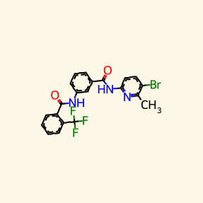 Cc1nc(NC(=O)c2cccc(NC(=O)c3ccccc3C(F)(F)F)c2)ccc1Br